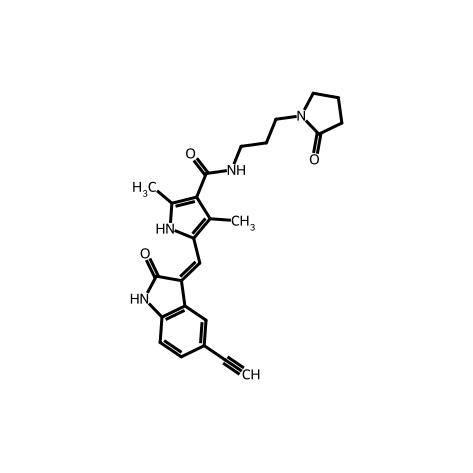 C#Cc1ccc2c(c1)/C(=C/c1[nH]c(C)c(C(=O)NCCCN3CCCC3=O)c1C)C(=O)N2